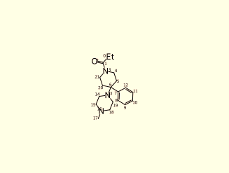 CCC(=O)N1CCC(c2ccccc2)(N2CCN(C)CC2)CC1